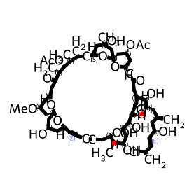 C=C(Cl)/C=C/[C@@H](O)CC(=C)C[C@H]1O[C@@H]2[C@H](C)[C@@H](CC(=O)C[C@H]3C[C@H](OC(C)=O)C[C@@]4(C[C@@](C)(O)C[C@H](CC(=C)[C@@H](C)C(OC(C)=O)[C@@H](C)C(=O)C[C@@H]5C[C@@H](OC)C[C@@]6(C[C@@H](O)C[C@H](/C=C\CCC[C@H]7O[C@](O)(C[C@H](O)[C@H]7C)[C@H]2O)O6)O5)O4)O3)[C@@H]1O